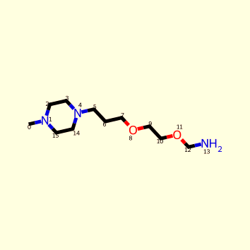 CN1CCN(CCCOCCOCN)CC1